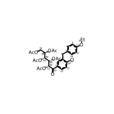 CCOc1ccc(Cc2cc(C(=O)[C@H](OC(C)=O)[C@@H](OC(C)=O)[C@H](OC(C)=O)[C@@H](COC(C)=O)OC(C)=O)ccc2Cl)cc1